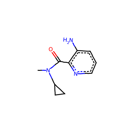 CN(C(=O)c1ncccc1N)C1CC1